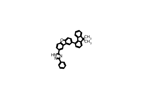 CC1(C)c2ccccc2-c2c(-c3ccc4oc5ccc(-c6nc(-c7ccccc7)n[nH]6)cc5c4c3)cccc21